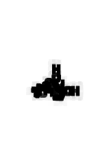 CC(C)(C)OC(=O)N1CC[C@H](O)[C@]1(I)C(=O)O